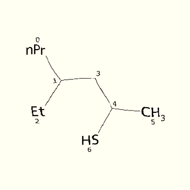 CCCC(CC)CC(C)S